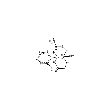 NC1=NC2(c3ccccc3F)COCC[C@H]2CS1